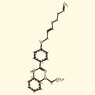 C=CCCC/C=C/COc1ccc(C(=O)Nc2ccccc2OCC(=O)O)cc1